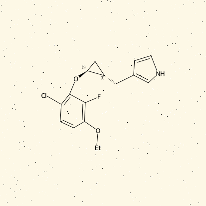 CCOc1ccc(Cl)c(O[C@H]2C[C@@H]2Cc2cc[nH]c2)c1F